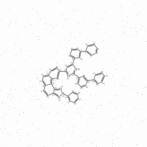 c1ccc(-c2cccc(-c3cc(-c4ccc5ccc6ccc7nn(-c8ccccc8)nc7c6c5c4)nc(-c4cccc(-c5ccccc5)c4)n3)c2)cc1